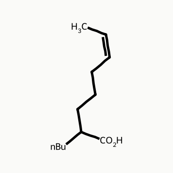 C/C=C\CCCC(CCCC)C(=O)O